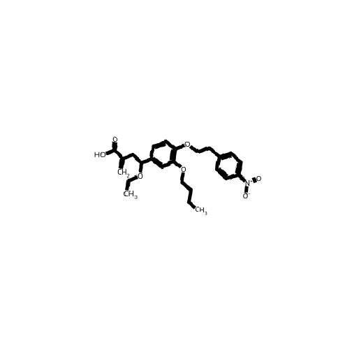 C=C(CC(OCC)c1ccc(OCCc2ccc([N+](=O)[O-])cc2)c(OCCCC)c1)C(=O)O